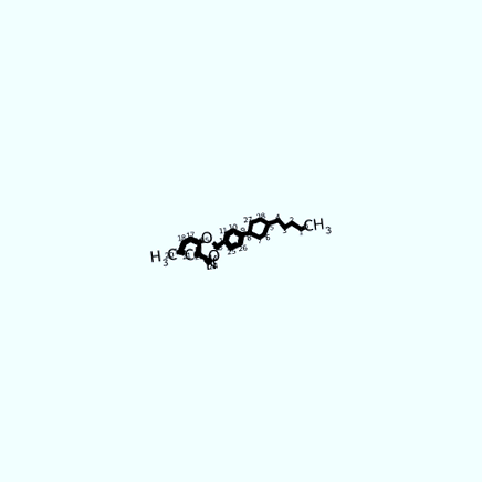 CCCCCC1CCC(c2ccc(C(=O)Oc3ccc(C)cc3C#N)cc2)CC1